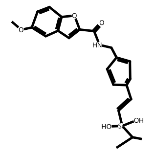 COc1ccc2oc(C(=O)NCc3ccc(C=C[Si](O)(O)C(C)C)cc3)cc2c1